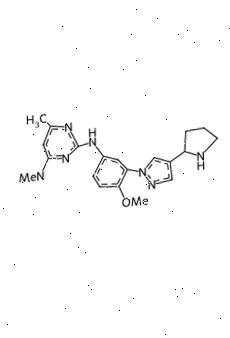 CNc1cc(C)nc(Nc2ccc(OC)c(-n3cc(C4CCCN4)cn3)c2)n1